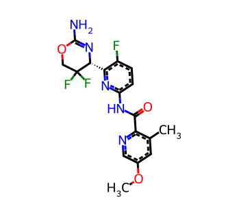 COc1cnc(C(=O)Nc2ccc(F)c([C@H]3N=C(N)OCC3(F)F)n2)c(C)c1